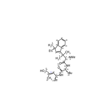 CC[N+]1(C)C=C(C(C)(C)[C@H](NC)C(=O)N[C@H](C(=O)N[C@H](/C=C(\C)C(=O)O)C(C)C)C(C)(C)C)c2ccccc21